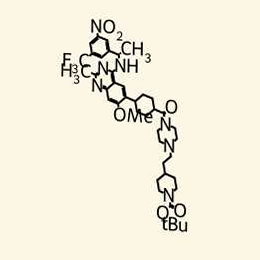 COc1cc2nc(C)nc(N[C@H](C)c3cc([N+](=O)[O-])cc(C(F)(F)F)c3)c2cc1C1CCC(C(=O)N2CCN(CCC3CCN(C(=O)OC(C)(C)C)CC3)CC2)CC1